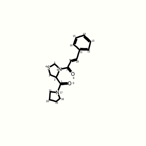 O=C(C1CSCN1C(=O)C=Cc1ccccc1)N1CCCC1